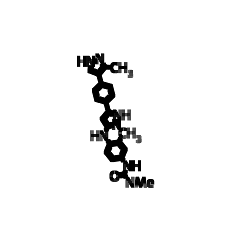 CNC(=O)Nc1ccc(Nc2cc(-c3ccc(-c4c[nH]nc4C)cc3)[nH]n2)c(C)c1